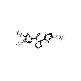 CCOC(=O)c1csc(C2CCCN2C(=O)c2cn(C)c(C)n2)n1